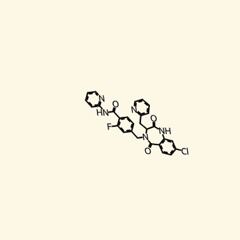 O=C(Nc1ccccn1)c1ccc(CN2C(=O)c3ccc(Cl)cc3NC(=O)C2Cc2ccccn2)cc1F